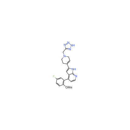 COc1ccc(F)cc1-c1ccnc2[nH]c(C3=CCN(Cc4nn[nH]n4)CC3)cc12